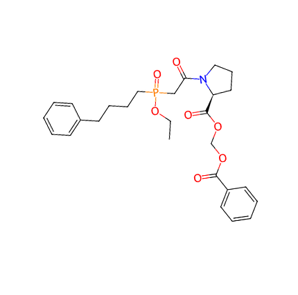 CCOP(=O)(CCCCc1ccccc1)CC(=O)N1CCC[C@H]1C(=O)OCOC(=O)c1ccccc1